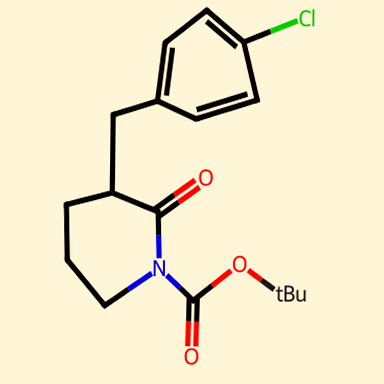 CC(C)(C)OC(=O)N1CCCC(Cc2ccc(Cl)cc2)C1=O